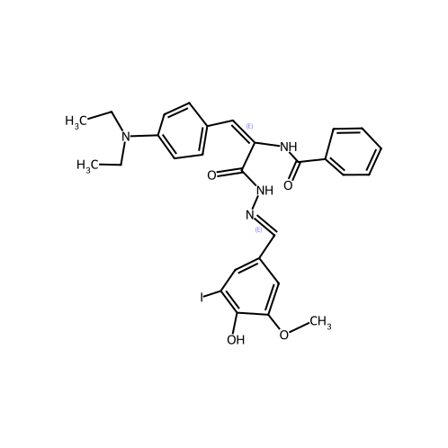 CCN(CC)c1ccc(/C=C(/NC(=O)c2ccccc2)C(=O)N/N=C/c2cc(I)c(O)c(OC)c2)cc1